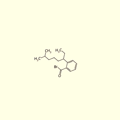 CCC(CCCC(C)C)c1ccccc1C(=O)Br